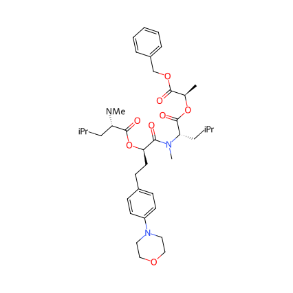 CN[C@@H](CC(C)C)C(=O)O[C@H](CCc1ccc(N2CCOCC2)cc1)C(=O)N(C)[C@@H](CC(C)C)C(=O)O[C@H](C)C(=O)OCc1ccccc1